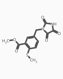 COC(=O)c1cc(CN2C(=O)NC(=O)C2=O)ccc1SC